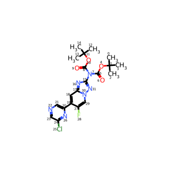 CC(C)(C)OC(=O)N(C(=O)OC(C)(C)C)c1nc2cc(-c3cncc(Cl)n3)c(F)cn2n1